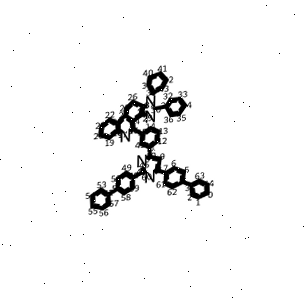 c1ccc(-c2ccc(-c3cc(-c4cccc(-c5nc6ccccc6c6ccc7c(nc(-c8ccccc8)n7-c7ccccc7)c56)c4)nc(-c4ccc(-c5ccccc5)cc4)n3)cc2)cc1